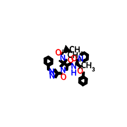 C[C@@H](OCc1ccccc1)[C@H](NC(=O)C1CN(C(=O)c2cnn(Cc3ccccc3)c2)CC12CN(C(=O)[C@H]1CC1(C)C)C2)C(=O)N1CCCCC1